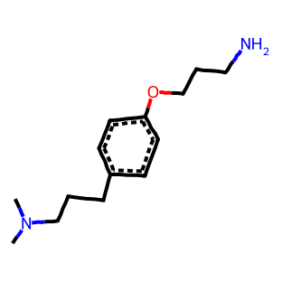 CN(C)CCCc1ccc(OCCCN)cc1